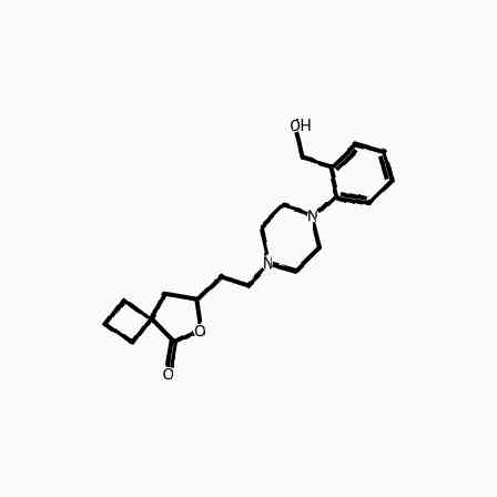 O=C1OC(CCN2CCN(c3ccccc3CO)CC2)CC12CCC2